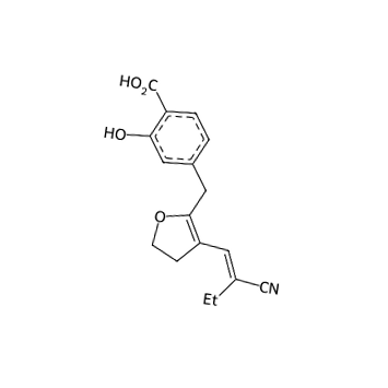 CC/C(C#N)=C\C1=C(Cc2ccc(C(=O)O)c(O)c2)OCC1